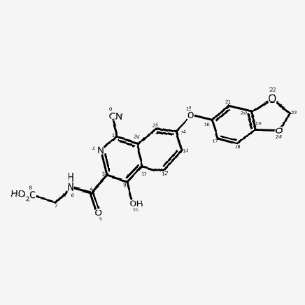 N#Cc1nc(C(=O)NCC(=O)O)c(O)c2ccc(Oc3ccc4c(c3)OCO4)cc12